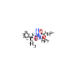 CCCC=CC(=O)N(NC(=O)CCC)NC(=O)CC(C)c1ccccc1